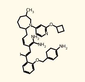 CC1CCCC(C/C=C\C(/C=C(\I)c2ccccc2OCC2=CC=C(N)CC2)=C(N)N)N(c2ccnc(OC3CCC3)c2)C1